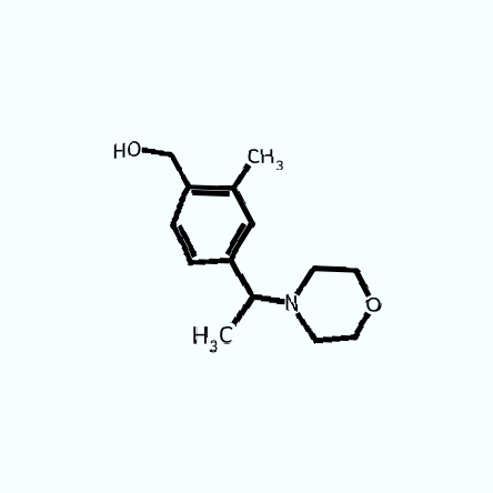 Cc1cc(C(C)N2CCOCC2)ccc1CO